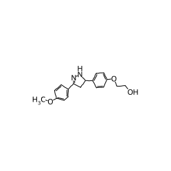 COc1ccc(C2=NNC(c3ccc(OCCO)cc3)C2)cc1